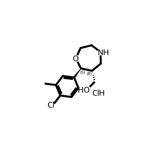 Cc1cc([C@H]2OCCNC[C@@H]2CO)ccc1Cl.Cl